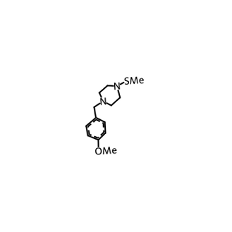 COc1ccc(CN2CCN(SC)CC2)cc1